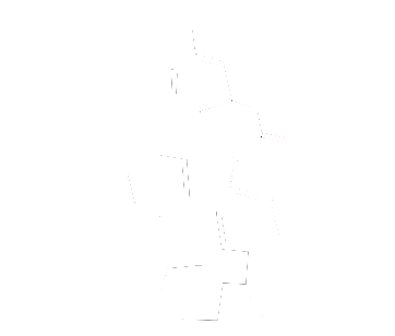 COc1cc2c(cc1OC(C)C)C(c1ccc(Cl)cc1)N(c1ccc([C@@](C)(O)C3CCOCC3)cn1)C(=O)C2